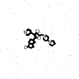 O=C1CCc2cc(C3=C(c4ccncc4)C(=O)C(CN4CCC(N5CCCC5)CC4)O3)ccc21